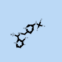 CC(NCc1ccc(OC(F)(F)F)cn1)c1ncccc1F